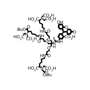 CC(C)COC(=O)CN(CC(=O)O)C(CCCCNC(=O)CCOCC(COCCC(=O)NCCCCC(C(=O)O)N(CC(=O)O)CC(=O)O)(COCCC(=O)NCCCCC(C(=O)OCC(C)C)N(CC(=O)O)CC(=O)O)NC(=S)Nc1ccc(-c2c3ccc(=O)cc-3oc3cc(O)ccc23)c(C(=O)O)c1)C(=O)O